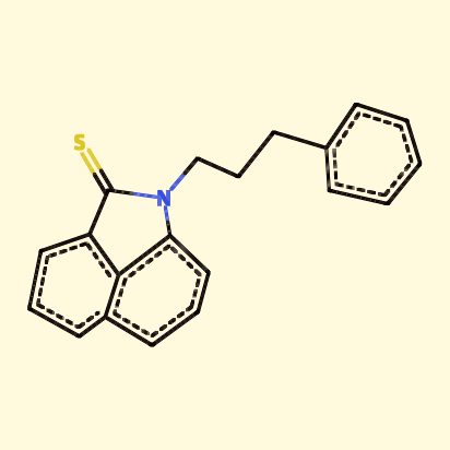 S=C1c2cccc3cccc(c23)N1CCCc1ccccc1